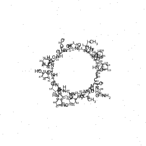 CCCC[C@H]1C(=O)N2CCC[C@@H]2C(=O)N[C@@H](COC=O)C(=O)N[C@@H](C)C(=O)N(C)[C@@H](Cc2ccccc2)C(=O)N[C@@H](Cc2ccc(O)cc2)C(=O)N2CCCC[C@@H]2C(=O)N[C@@H](Cc2c[nH]c3ccccc23)C(=O)N[C@@H](Cc2ccc(O)cc2)C(=O)N[C@@H](CC(C)C)C(=O)N[C@H](C(=O)NCC(N)=O)CSCC(=O)N[C@@H](Cc2ccccc2)C(=O)N(C)[C@@H](Cc2ccccc2)C(=O)N1C